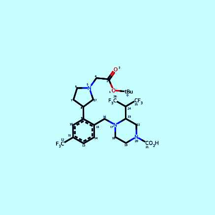 CC(C)(C)OC(=O)CN1CCC(c2cc(C(F)(F)F)ccc2CN2CCN(C(=O)O)CC2C(C(F)(F)F)C(F)(F)F)C1